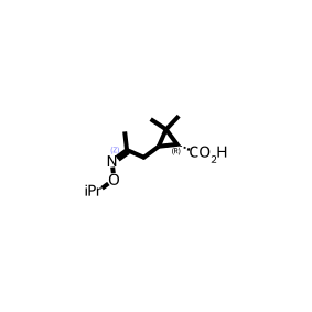 C/C(CC1[C@@H](C(=O)O)C1(C)C)=N/OC(C)C